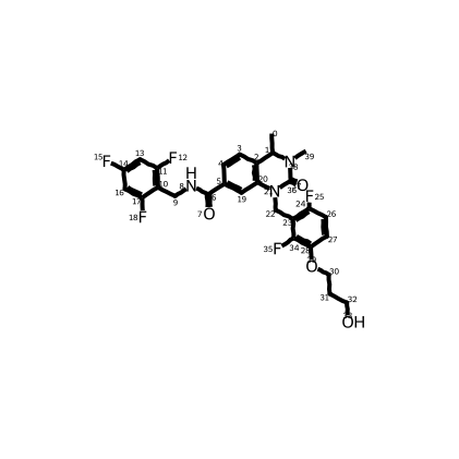 CC1c2ccc(C(=O)NCc3c(F)cc(F)cc3F)cc2N(Cc2c(F)ccc(OCCCO)c2F)C(=O)N1C